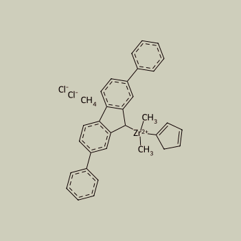 C.[CH3][Zr+2]([CH3])([C]1=CC=CC1)[CH]1c2cc(-c3ccccc3)ccc2-c2ccc(-c3ccccc3)cc21.[Cl-].[Cl-]